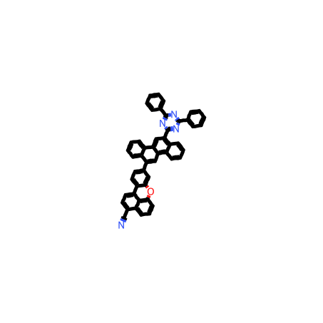 N#Cc1ccc2c3c(cccc13)Oc1cc(-c3cc4c5ccccc5c(-c5nc(-c6ccccc6)nc(-c6ccccc6)n5)cc4c4ccccc34)ccc1-2